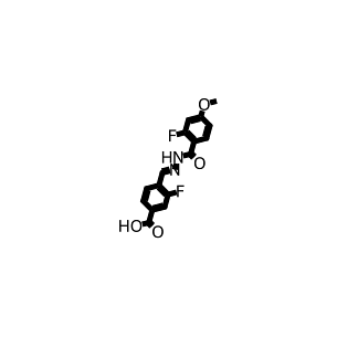 COc1ccc(C(=O)NN=Cc2ccc(C(=O)O)cc2F)c(F)c1